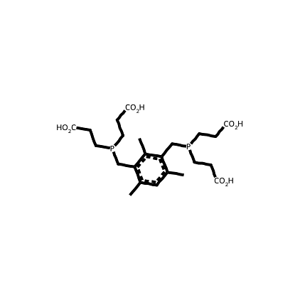 Cc1cc(C)c(CP(CCC(=O)O)CCC(=O)O)c(C)c1CP(CCC(=O)O)CCC(=O)O